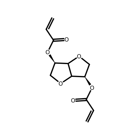 C=CC(=O)O[C@@H]1COC2C1OC[C@H]2OC(=O)C=C